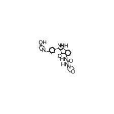 O=C(Nc1cccc2c1C(=O)c1c(-c3ccc(CN4CC[C@@H](O)C4)cc3)n[nH]c1-2)NN1CCOCC1